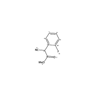 COC(=O)C(C#N)c1ccccc1F